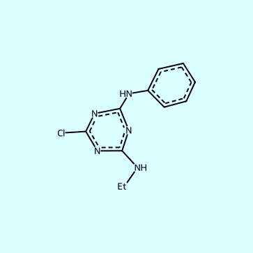 CCNc1nc(Cl)nc(Nc2ccccc2)n1